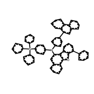 c1ccc(-c2cccc3c2oc2c4ccccc4cc(N(c4ccc(-c5cc6ccccc6c6ccccc56)cc4)c4ccc([Si](c5ccccc5)(c5ccccc5)c5ccccc5)cc4)c32)cc1